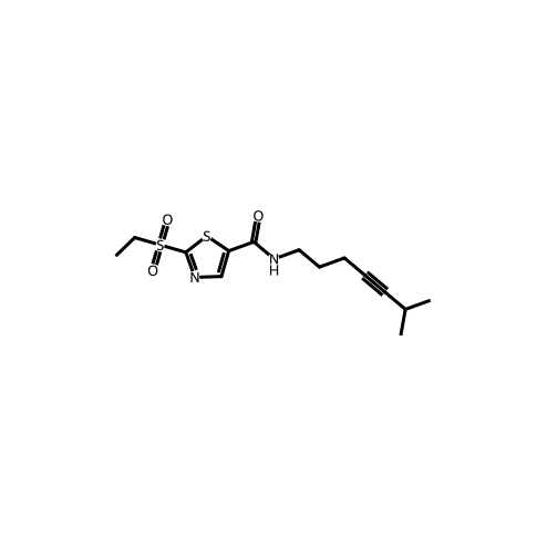 CCS(=O)(=O)c1ncc(C(=O)NCCCC#CC(C)C)s1